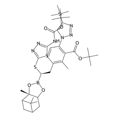 Cc1c(C[C@H](Sc2nnc(NC(=O)OC(C)(C)C)s2)B2OC3CC4CC(C4(C)C)[C@]3(C)O2)ccc(-n2cc([Si](C)(C)C)nn2)c1C(=O)OC(C)(C)C